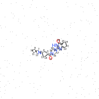 O=C(c1ccc(N2CC3(CCC3)C2)cc1)N1CCN(c2nc3ccccc3c(=O)[nH]2)CC1